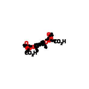 C=CCc1cc(C(C)(C)c2ccc(OCC(COC(=O)C(=C)C)OC(=O)CCC(=O)O)c(CC=C)c2)ccc1OCC(COC(=O)C(=C)C)OC(=O)CCC(=O)O